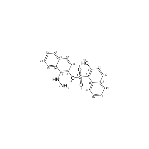 NNc1c(OS(=O)(=O)c2c(O)ccc3ccccc23)ccc2ccccc12